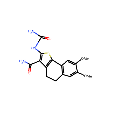 COc1cc2c(cc1OC)-c1sc(NC(N)=O)c(C(N)=O)c1CC2